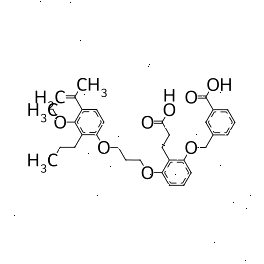 C=C(C)c1ccc(OCCCOc2cccc(OCc3cccc(C(=O)O)c3)c2CCC(=O)O)c(CCC)c1OC